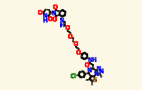 Cc1sc2c(c1C)C(c1ccc(Cl)cc1)=N[C@@H](CC(=O)Nc1ccc(OCCOCCOCCOCCNc3cccc4c3C(=O)N([C@H]3CCC(=O)NC3=O)C4=O)cc1)c1nnc(C)n1-2